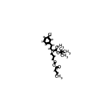 CCCC(=O)OOCCCN(CCc1cccc(Cl)c1)C(=O)OC(C)(C)C